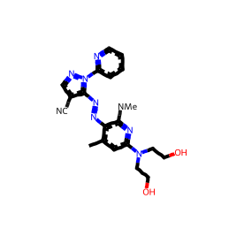 CNc1nc(N(CCO)CCO)cc(C)c1/N=N/c1c(C#N)cnn1-c1ccccn1